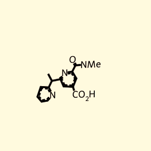 CNC(=O)c1cc(C(=O)O)cc(C(C)c2ccccn2)n1